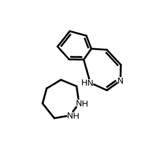 C1=Cc2ccccc2NC=N1.C1CCNNCC1